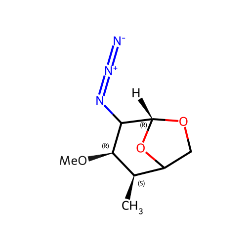 CO[C@H]1C(N=[N+]=[N-])[C@@H]2OCC(O2)[C@H]1C